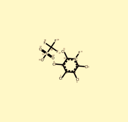 F[n+]1c(Cl)c(Cl)c(Cl)c(Cl)c1Cl.O=S(=O)([O-])C(F)(F)F